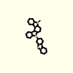 Cn1c2ccccc2c2c3c4ccccc4n(-c4ccc5c(c4)sc4ccccc45)c3ccc21